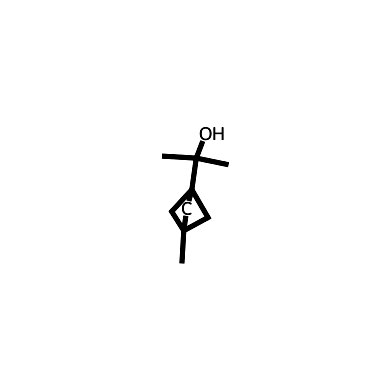 CC12CC(C(C)(C)O)(C1)C2